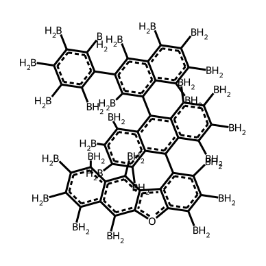 Bc1c(B)c(B)c(-c2c(B)c(-c3c4c(B)c(B)c(B)c(B)c4c(-c4c(B)c(B)c(B)c5oc6c(B)c7c(B)c(B)c(B)c(B)c7c(B)c6c45)c4c(B)c(B)c(B)c(B)c34)c3c(B)c(B)c(B)c(B)c3c2B)c(B)c1B